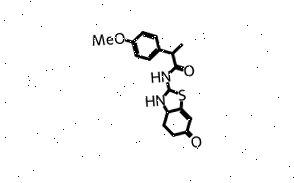 COc1ccc(C(C)C(=O)NC2NC3CCC(=O)C=C3S2)cc1